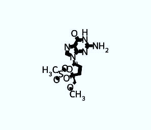 COC[C@]1(OS(C)(=O)=O)C=C[C@H](n2cnc3c(=O)[nH]c(N)nc32)O1